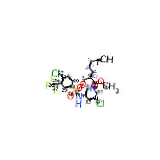 C#C/C=C\C=C(/COc1ncc(Cl)cc1NS(=O)(=O)c1ccc(Cl)c(C(F)(F)F)c1)C(=O)OC